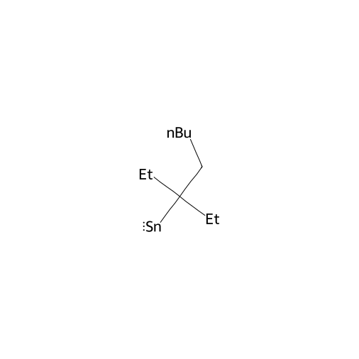 CCCCC[C]([Sn])(CC)CC